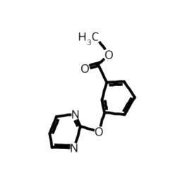 COC(=O)c1cccc(Oc2ncccn2)c1